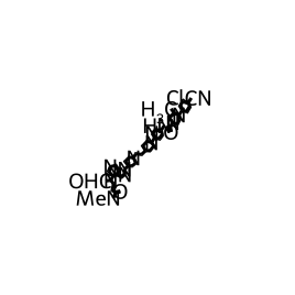 CNC(=O)CCN(C=O)c1cncc2c1cnn2C1CCN(CCC2CCN(c3ccc(NC(=O)N4CCN(c5ccc(C#N)c(Cl)c5)C(C)C4)cn3)CC2)CC1